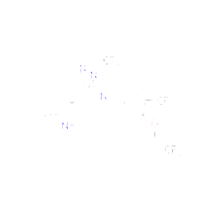 Cc1cc(-c2cnn3c(C(F)(F)F)cc(-c4ccc(OCC(F)(F)F)c(C(F)(F)F)c4)nc23)ccn1